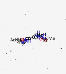 COC(=O)N[C@H](C(=O)N1CCC[C@H]1c1nc2c([nH]1)N(C)c1ccc(-c3ccc4c(ccc5nc([C@@H]6CCCN6C(=O)[C@@H](NC(C)=O)C(C)C)[nH]c54)c3)cc1CC2)C(C)C